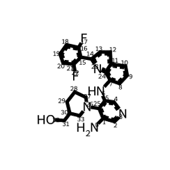 Nc1cncc(Nc2cccc3ccc(-c4c(F)cccc4F)nc23)c1N1CCCC(CO)C1